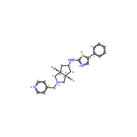 c1ccc(-c2cnc(NC3C[C@@H]4CN(Cc5ccncc5)C[C@@H]4C3)s2)cc1